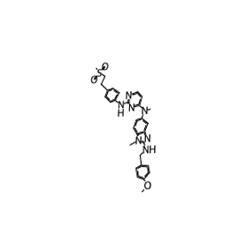 COc1ccc(CNc2nc3cc(N(C)c4ccnc(Nc5ccc(CCS(C)(=O)=O)cc5)n4)ccc3n2C)cc1